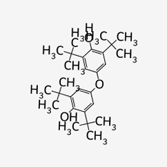 CC(C)(C)c1cc(Oc2cc(C(C)(C)C)c(O)c(C(C)(C)C)c2)cc(C(C)(C)C)c1O